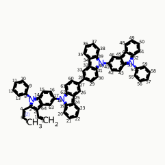 C=Cc1c(/C=C\C)n(-c2ccccc2)c2ccc(-n3c4ccccc4c4cc(-c5ccc6c(c5)c5ccccc5n6-c5ccc6c(c5)c5ccccc5n6-c5ccccc5)ccc43)cc12